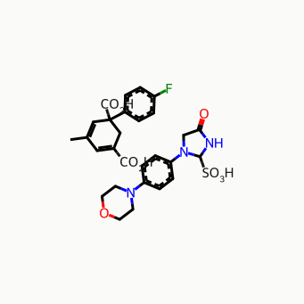 CC1=CC(C(=O)O)(c2ccc(F)cc2)CC(C(=O)O)=C1.O=C1CN(c2ccc(N3CCOCC3)cc2)C(S(=O)(=O)O)N1